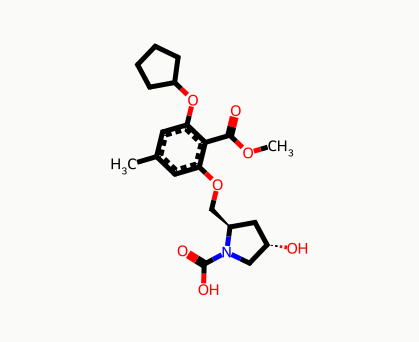 COC(=O)c1c(OC[C@H]2C[C@H](O)CN2C(=O)O)cc(C)cc1OC1CCCC1